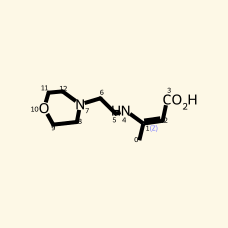 C/C(=C/C(=O)O)NCCN1CCOCC1